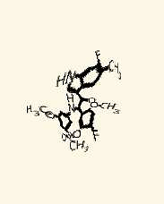 COc1cc(NC(C(=O)c2c[nH]c3cc(F)c(C)cc23)c2ccc(F)cc2OC)cc(S(C)(=O)=O)c1